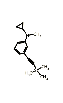 CN(c1cccc(C#C[Si](C)(C)C)c1)C1CC1